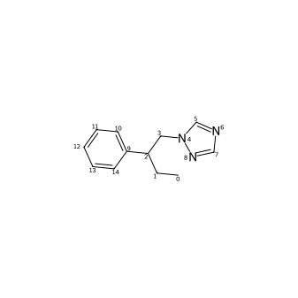 CCC(Cn1cncn1)c1ccccc1